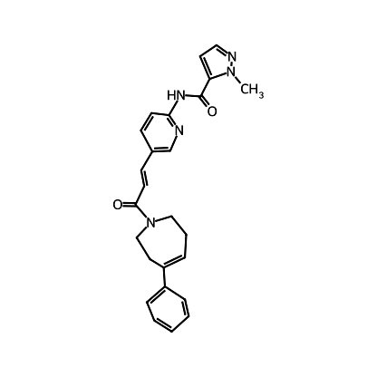 Cn1nccc1C(=O)Nc1ccc(/C=C/C(=O)N2CCC=C(c3ccccc3)CC2)cn1